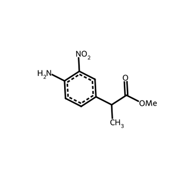 COC(=O)C(C)c1ccc(N)c([N+](=O)[O-])c1